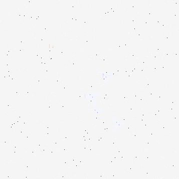 CN(C)c1cc(Nc2ccc(Br)cc2F)[nH]n1